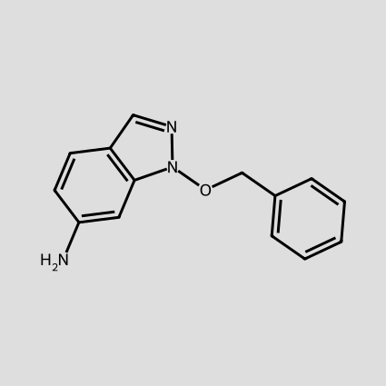 Nc1ccc2cnn(OCc3ccccc3)c2c1